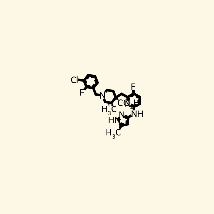 Cc1cc(Nc2ccc(F)c(C[C@@]3(C(=O)O)CCN(Cc4cccc(Cl)c4F)C[C@@H]3C)n2)n[nH]1